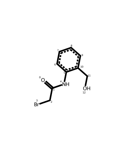 O=C(CBr)Nc1ccccc1CO